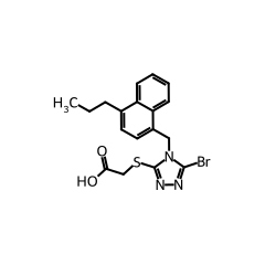 CCCc1ccc(Cn2c(Br)nnc2SCC(=O)O)c2ccccc12